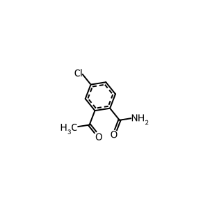 CC(=O)c1cc(Cl)ccc1C(N)=O